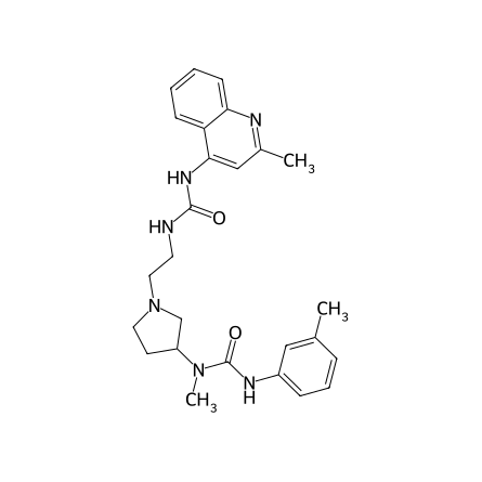 Cc1cccc(NC(=O)N(C)C2CCN(CCNC(=O)Nc3cc(C)nc4ccccc34)C2)c1